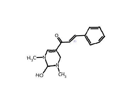 CN1C=C(C(=O)/C=C/c2ccccc2)CN(C)C1O